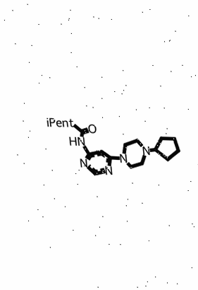 CCCC(C)C(=O)Nc1cc(N2CCN(C3CCCC3)CC2)ncn1